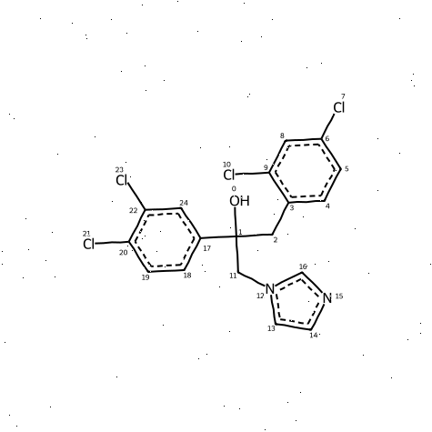 OC(Cc1ccc(Cl)cc1Cl)(Cn1ccnc1)c1ccc(Cl)c(Cl)c1